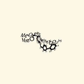 CCCCCCn1nc(C(CCC)(OC)OC)nc1Cc1ccc(-c2ccccc2C(=O)O)cc1